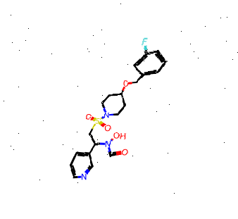 O=CN(O)C(CS(=O)(=O)N1CCC(OCc2cccc(F)c2)CC1)c1cccnc1